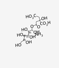 N.O=C(O)CC(O)(CC(=O)OC(O)[C@H](O)[C@@H](O)[C@H](O)[C@H](O)CO)C(=O)O